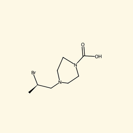 C[C@@H](Br)CN1CCN(C(=O)O)CC1